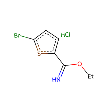 CCOC(=N)c1ccc(Br)s1.Cl